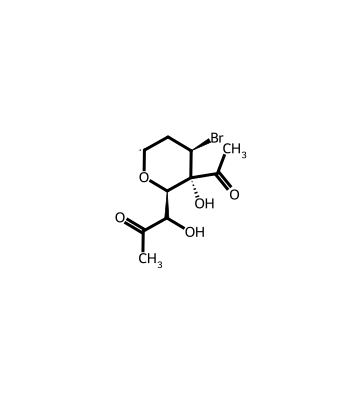 CC(=O)C(O)[C@H]1O[CH]C[C@@H](Br)[C@@]1(O)C(C)=O